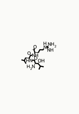 CC(C)C[C@H](NC(=O)[C@@H](N)[C@H](O)C(C)C)C(=O)N[C@@H]([C]=O)CCCNC(=N)N